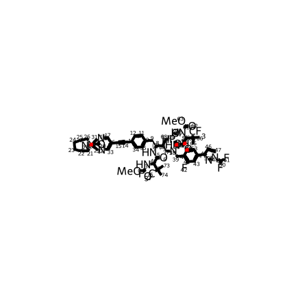 COC(=O)NC(C(=O)N[C@@H](Cc1ccc(C#Cc2cnc(N3CC4CCC(C3)N4C3COC3)nc2)cc1)[C@H](CN(Cc1c(F)cc(-c2ccn(C(F)F)n2)cc1F)NC(=O)[C@@H](NC(=O)OC)C(C)(C)C(F)(F)F)C[PH](=O)O)C(C)(C)C(F)(F)F